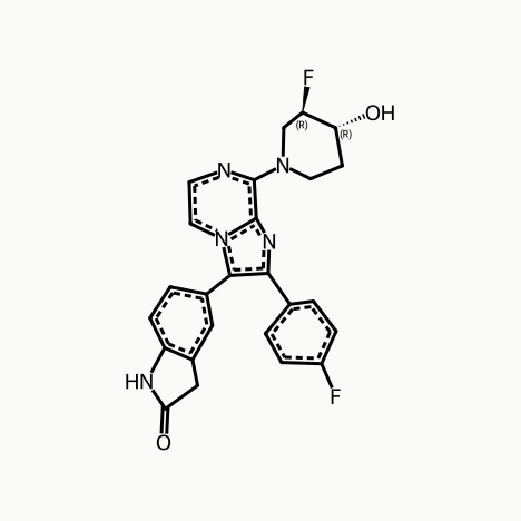 O=C1Cc2cc(-c3c(-c4ccc(F)cc4)nc4c(N5CC[C@@H](O)[C@H](F)C5)nccn34)ccc2N1